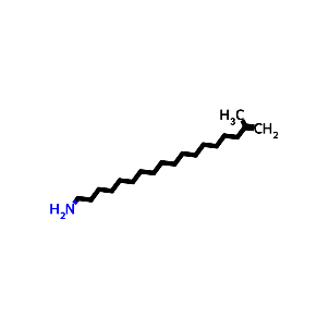 C=C(C)CCCCCCCCCCCCCCCCN